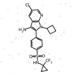 Nc1c(-c2ccc(S(=O)(=O)NC3(C(F)(F)F)CC3)cc2)n(C2CCC2)c2ncc(Cl)cc12